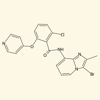 Cc1nc2c(NC(=O)c3c(Cl)cccc3Oc3ccncc3)cccn2c1Br